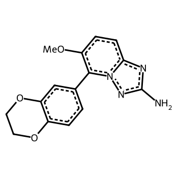 COc1ccc2nc(N)nn2c1-c1ccc2c(c1)OCCO2